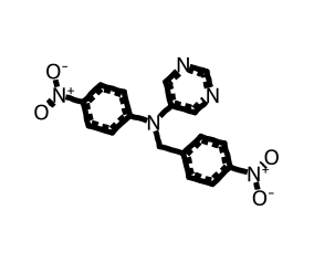 O=[N+]([O-])c1ccc(CN(c2ccc([N+](=O)[O-])cc2)c2cncnc2)cc1